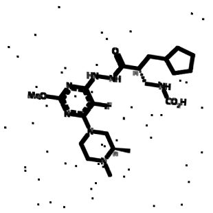 COc1nc(NNC(=O)[C@@H](CNC(=O)O)CC2CCCC2)c(F)c(N2CCN(C)[C@H](C)C2)n1